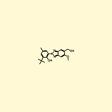 COc1cc2nn(-c3cc(C)cc(C(C)(C)C)c3O)nc2cc1CO